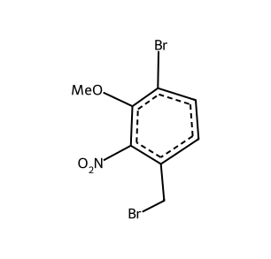 COc1c(Br)ccc(CBr)c1[N+](=O)[O-]